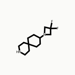 FC1(F)CN(C2CCC3(CCNCC3)CC2)C1